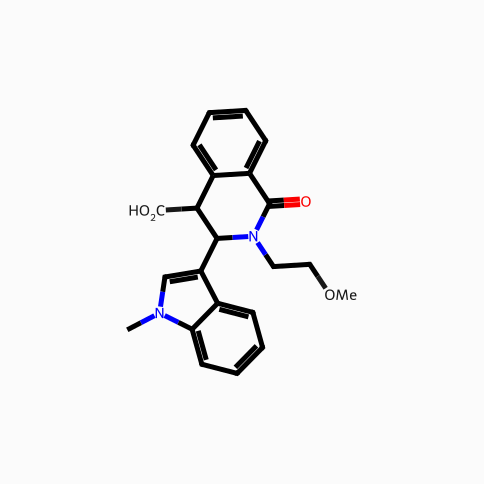 COCCN1C(=O)c2ccccc2C(C(=O)O)C1c1cn(C)c2ccccc12